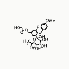 COc1ccc(Cc2c(F)cc(COC(=O)CO)cc2[C@@]2(O)O[C@H]([C@H](C)O)[C@@H](O)[C@H](O)[C@H]2O)cc1